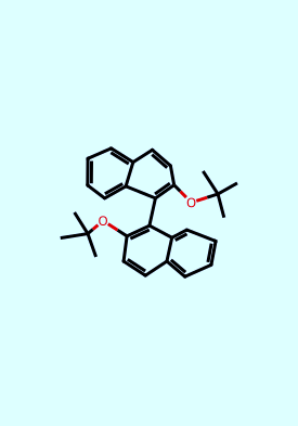 CC(C)(C)Oc1ccc2ccccc2c1-c1c(OC(C)(C)C)ccc2ccccc12